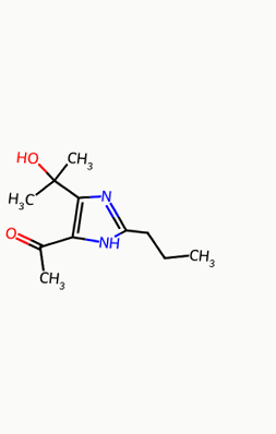 CCCc1nc(C(C)(C)O)c(C(C)=O)[nH]1